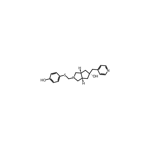 Oc1ccc(SCN2C[C@@H]3C[C@@](O)(Cc4ccncc4)C[C@@H]3C2)cc1